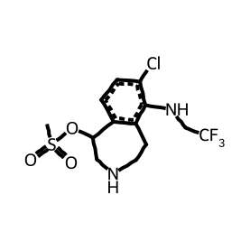 CS(=O)(=O)OC1CNCCc2c1ccc(Cl)c2NCC(F)(F)F